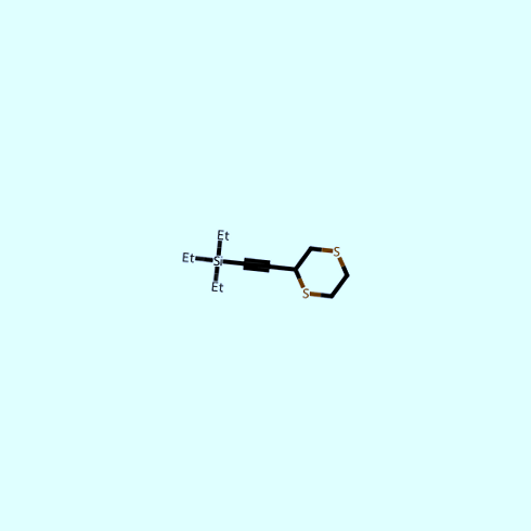 CC[Si](C#CC1CSCCS1)(CC)CC